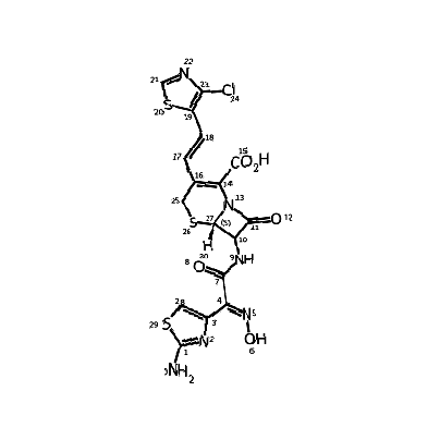 Nc1nc(C(=NO)C(=O)NC2C(=O)N3C(C(=O)O)=C(C=Cc4scnc4Cl)CS[C@@H]23)cs1